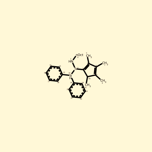 CCCCCCCC[NH][Ti]([C]1=C(C)C(C)=C(C)C1C)[SiH](c1ccccc1)c1ccccc1